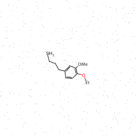 CCOc1ccc(CCC[SiH3])cc1OC